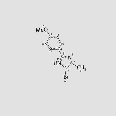 COc1ccc(-c2nc(C)c(Br)[nH]2)cc1